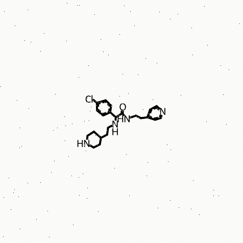 O=C(NCCc1ccncc1)C(NCCC1CCNCC1)c1ccc(Cl)cc1